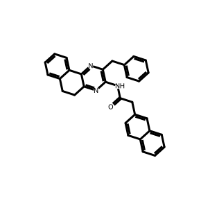 O=C(Cc1ccc2ccccc2c1)Nc1nc2c(nc1Cc1ccccc1)-c1ccccc1CC2